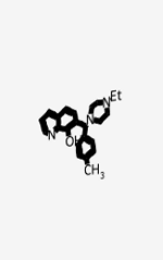 CCN1CCN(C(c2ccc(C)cc2)c2ccc3cccnc3c2O)CC1